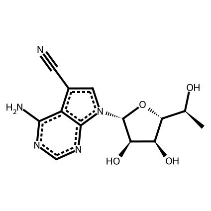 C[C@H](O)[C@H]1O[C@@H](n2cc(C#N)c3c(N)ncnc32)[C@H](O)[C@@H]1O